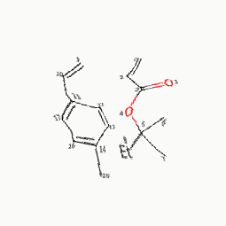 C=CC(=O)OC(C)(C)CC.C=Cc1ccc(C)cc1